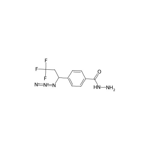 [N-]=[N+]=NC(CC(F)(F)F)c1ccc(C(=O)NN)cc1